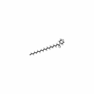 CCCCCCCCCCCCCCCCCCC(=O)N1CCOCC1